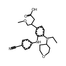 CCN(c1ccc(C(COC)CC(=O)O)cc1Nc1ccc(C#N)cc1)C1CCOCC1